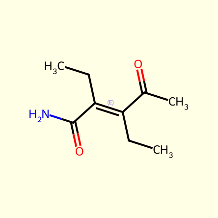 CC/C(C(C)=O)=C(/CC)C(N)=O